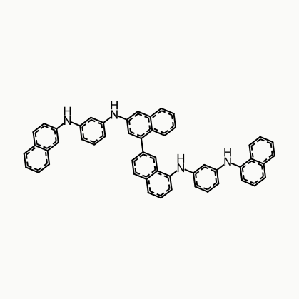 c1cc(Nc2ccc3ccccc3c2)cc(Nc2cc(-c3ccc4cccc(Nc5cccc(Nc6cccc7ccccc67)c5)c4c3)c3ccccc3c2)c1